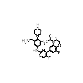 CC(C)N1CCOc2c(F)cc(-c3nc(Nc4ccc(N5CCNCC5)c(CN)c4)ncc3F)cc21